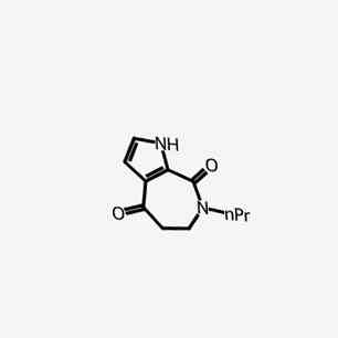 CCCN1CCC(=O)c2cc[nH]c2C1=O